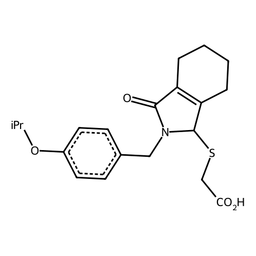 CC(C)Oc1ccc(CN2C(=O)C3=C(CCCC3)C2SCC(=O)O)cc1